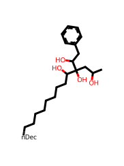 CCCCCCCCCCCCCCCCCCC(O)C(O)(CC(C)O)C(O)Cc1ccccc1